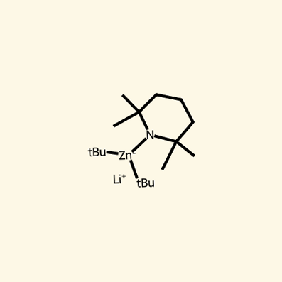 CC1(C)CCCC(C)(C)[N]1[Zn-]([C](C)(C)C)[C](C)(C)C.[Li+]